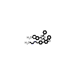 C=C/C=C\C=C/Cc1ccc(-c2ccc3oc4ccccc4c3c2-c2nc(-c3ccccc3)nc(-c3ccc4c(c3)C=CC(C)C4)n2)cc1